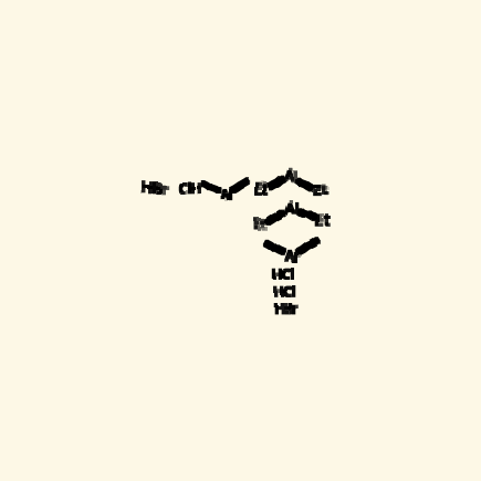 Br.Br.C[CH2][Al][CH2]C.C[CH2][Al][CH2]C.Cl.Cl.Cl.[CH3][Al][CH3].[CH3][Al][CH3]